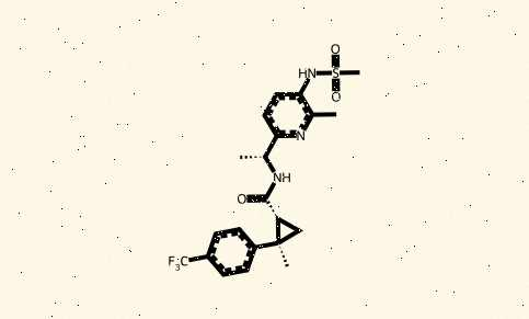 Cc1nc([C@@H](C)NC(=O)[C@@H]2C[C@@]2(C)c2ccc(C(F)(F)F)cc2)ccc1NS(C)(=O)=O